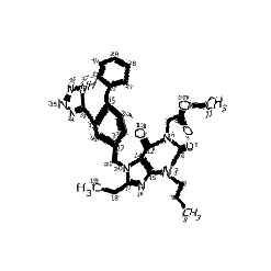 CCCn1c(=O)n(CC(=O)OC)c(=O)c2c1nc(CC)n2Cc1ccc(-c2ccccc2)c(-c2nnn[nH]2)c1